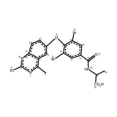 CCc1nc(C)c2cc(Oc3c(Br)cc(C(=O)NC(C)C(=O)O)cc3Br)ccc2n1